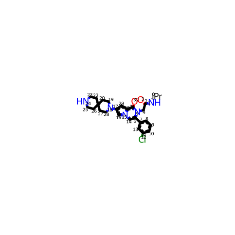 CC(C)NC(=O)Cn1c(-c2cccc(Cl)c2)cn2cc(N3CCC4(CCNCC4)CC3)cc2c1=O